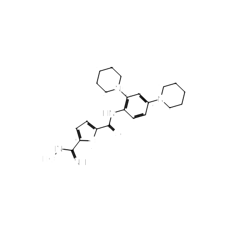 N=C(NO)c1ccc(C(=O)Nc2ccc(N3CCCCC3)cc2N2CCCCC2)o1